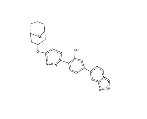 Oc1cc(-c2ccn3cnnc3c2)ccc1-c1ccc(OC2CC3CCCC(C2)N3)nn1